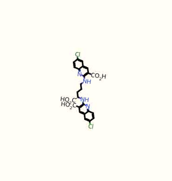 O=C(O)c1cc2cc(Cl)ccc2nc1NCCC[C@H](Nc1nc2ccc(Cl)cc2cc1C(=O)O)C(=O)O